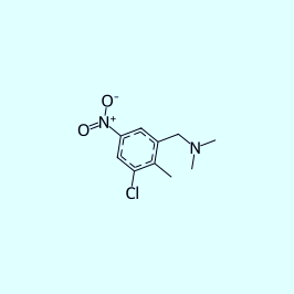 Cc1c(Cl)cc([N+](=O)[O-])cc1CN(C)C